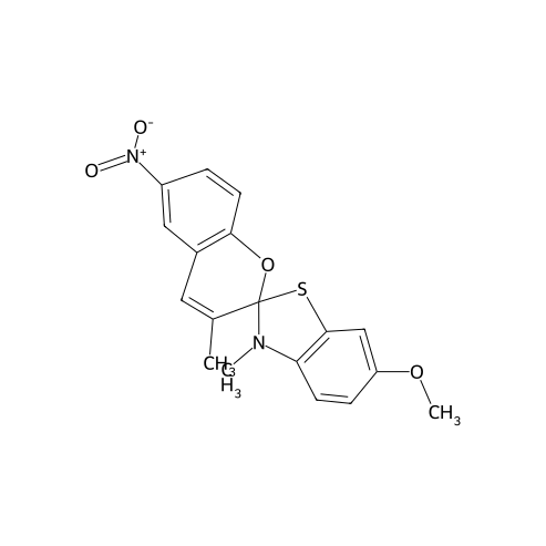 COc1ccc2c(c1)SC1(Oc3ccc([N+](=O)[O-])cc3C=C1C)N2C